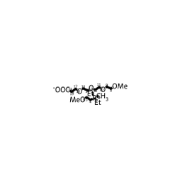 CC[P+](C)(CC)CCOC.COCCOCCOCCOCCC(=O)[O-]